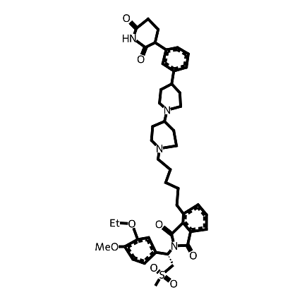 CCOc1cc([C@@H](CS(C)(=O)=O)N2C(=O)c3cccc(CCCCCN4CCC(N5CCC(c6cccc(C7CCC(=O)NC7=O)c6)CC5)CC4)c3C2=O)ccc1OC